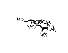 C=C.CC(O)CO.OCCO